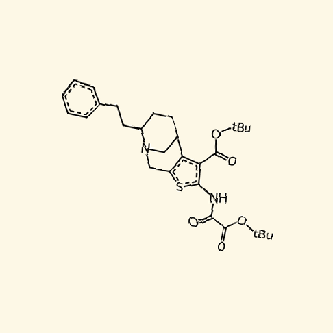 CC(C)(C)OC(=O)C(=O)Nc1sc2c(c1C(=O)OC(C)(C)C)C1CCC(CCc3ccccc3)N(C2)C1